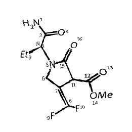 CC[C@@H](C(N)=O)N1CC(=C(F)F)C(C(=O)OC)C1=O